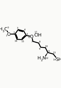 COc1ccc(OCCCC[C@H](N)CS)cc1.Cl